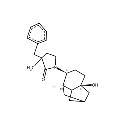 CC1(Cc2ccccc2)CCN([C@H]2CC[C@]3(O)CC4CC3[C@H]2C4)C1=O